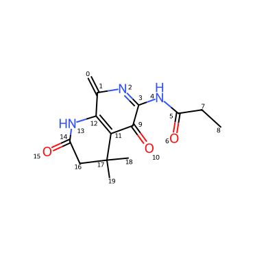 C=C1N=C(NC(=O)CC)C(=O)C2=C1NC(=O)CC2(C)C